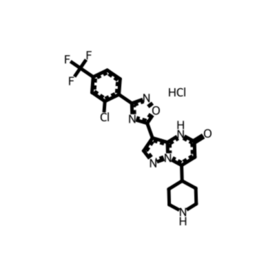 Cl.O=c1cc(C2CCNCC2)n2ncc(-c3nc(-c4ccc(C(F)(F)F)cc4Cl)no3)c2[nH]1